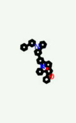 C1=Cc2oc3cccc(-c4ccccc4-n4c5ccccc5c5cc(-c6ccc7c(c6)c6ccccc6n7-c6cccc(-c7ccccc7)c6)ccc54)c3c2CC1